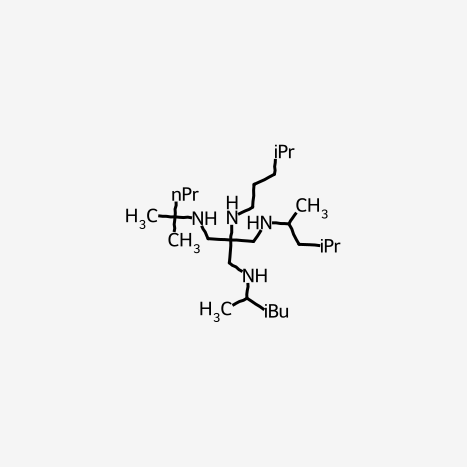 CCCC(C)(C)NCC(CNC(C)CC(C)C)(CNC(C)C(C)CC)NCCCC(C)C